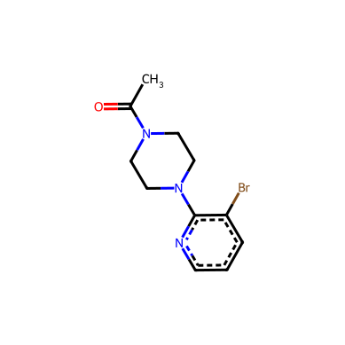 CC(=O)N1CCN(c2ncccc2Br)CC1